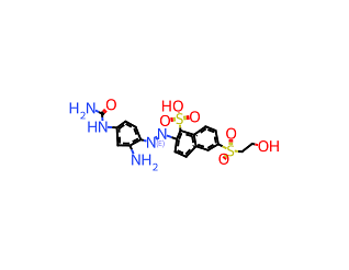 NC(=O)Nc1ccc(/N=N/c2ccc3cc(S(=O)(=O)CCO)ccc3c2S(=O)(=O)O)c(N)c1